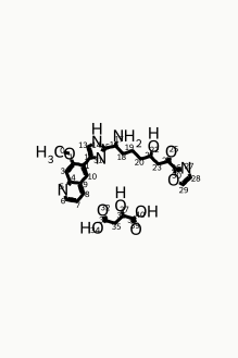 COc1cc2ncccc2cc1-c1c[nH]c(C(N)CCCC(O)CC(=O)c2ncco2)n1.O=C(O)CC(O)C(=O)O